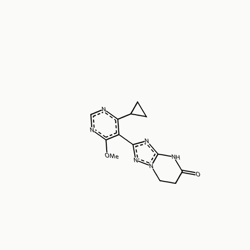 COc1ncnc(C2CC2)c1-c1nc2n(n1)CCC(=O)N2